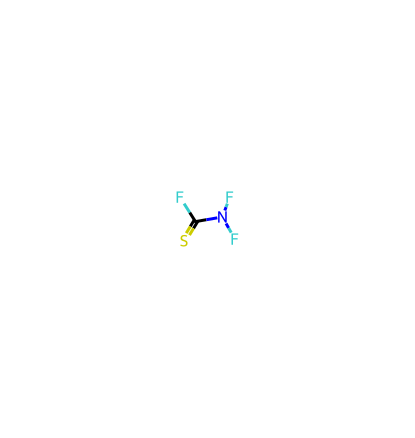 FC(=S)N(F)F